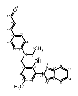 CCN(Cc1cc(C)cc(-n2nc3ccccc3n2)c1O)c1ccc(/C=C/C=O)cc1